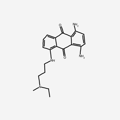 CCN(C)CCCNc1cccc2c1C(=O)c1c(N)ccc(N)c1C2=O